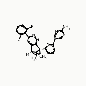 CC1(C)[C@H]2CC[C@]1(c1cccc(-c3cnc(N)nc3)n1)c1nnc(-c3c(F)cccc3F)cc12